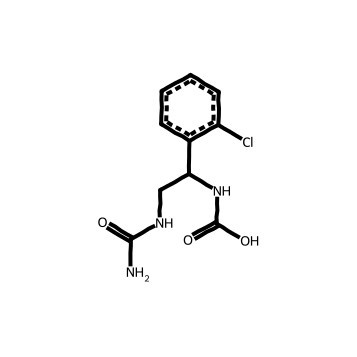 NC(=O)NCC(NC(=O)O)c1ccccc1Cl